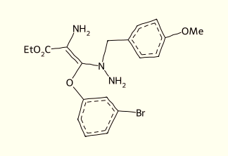 CCOC(=O)/C(N)=C(\Oc1cccc(Br)c1)N(N)Cc1ccc(OC)cc1